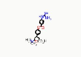 CN(C)C(=O)CC(CC(=O)O)c1ccc(OC(=O)c2ccc(NC(=N)N)cc2)cc1